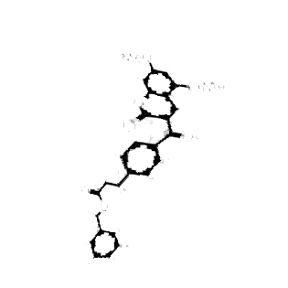 COc1cc(OC)c2cc(C(=O)c3ccc(CCC(=O)OCc4ccccc4)cc3)c(=O)oc2c1